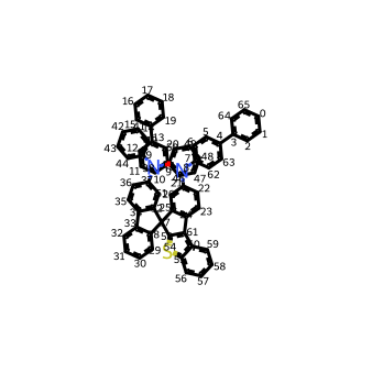 c1ccc(-c2ccc(N(c3cccc(-c4ccccc4)c3)c3ccc4c(c3)C3(c5ccccc5-c5ccc(N(c6ccccc6)c6ccccc6)cc53)c3sc5ccccc5c3-4)cc2)cc1